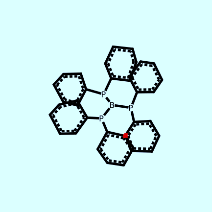 c1ccc(P(B(P(c2ccccc2)c2ccccc2)P(c2ccccc2)c2ccccc2)c2ccccc2)cc1